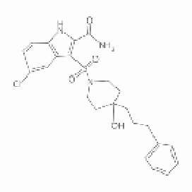 NC(=O)c1[nH]c2ccc(Cl)cc2c1S(=O)(=O)N1CCC(O)(CCCc2ccccc2)CC1